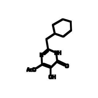 CC(=O)Oc1nc(CC2CCCCC2)[nH]c(=O)c1O